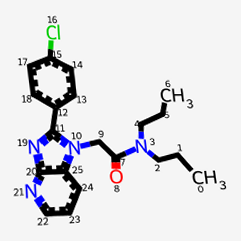 CCCN(CCC)C(=O)Cn1c(-c2ccc(Cl)cc2)nc2ncccc21